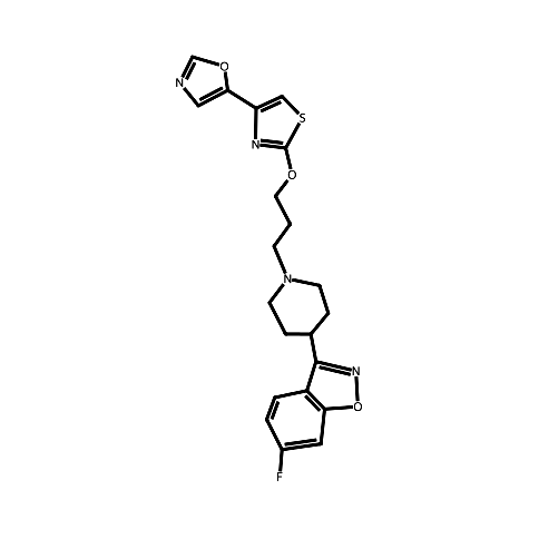 Fc1ccc2c(C3CCN(CCCOc4nc(-c5cnco5)cs4)CC3)noc2c1